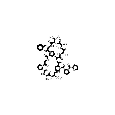 CC[C@H](C)[C@H](NC(=O)[C@@H]1CCCN1C(=O)CNC(=O)[C@@H]1CCCN1C(=O)[C@H](Cc1ccccc1)NC(=O)[C@@H](NC(=O)[C@@H](NC(=O)[C@@H](NC(=O)[C@@H](NC(=O)[C@@H]1CCCN1C(=O)[C@@H]1CCCN1C(=O)[C@@H]1CCCN1)C(C)C)C(C)C)C(C)C)[C@@H](C)O)C(=O)N[C@@H](CC(C)C)C(=O)O